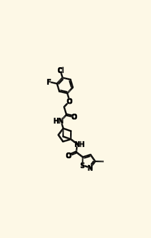 Cc1cc(C(=O)NC23CCC(NC(=O)COc4ccc(Cl)c(F)c4)(C2)C3)sn1